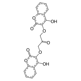 O=C(COc1c(O)c2ccccc2oc1=O)COc1c(O)c2ccccc2oc1=O